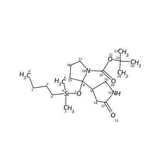 CCCC[Si](C)(C)OC1(C2CNC(=O)C2)CCCN1C(=O)OC(C)(C)C